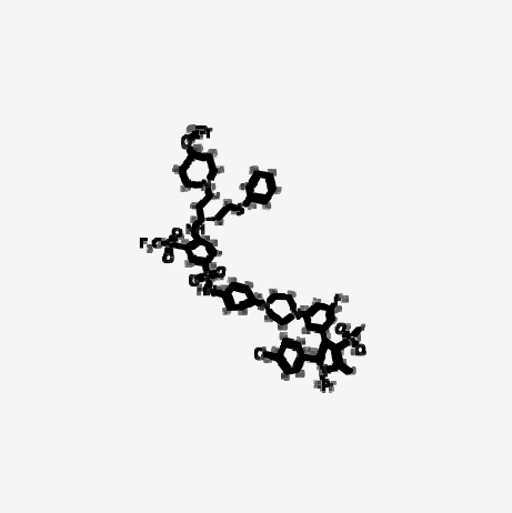 Cc1c(S(C)(=O)=O)c(-c2cc(F)cc(N3CCN(c4ccc(NS(=O)(=O)c5ccc(N[C@@H](CCSc6ccccc6)CCN6CCC(OC(C)C)CC6)c(S(=O)(=O)C(F)(F)F)c5)cc4)CC3)c2)c(-c2ccc(Cl)cc2)n1C(C)C